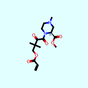 C=CC(=O)OCC(C)(C)C(=O)C(=O)N1CCN(C)C[C@H]1C(=O)OC